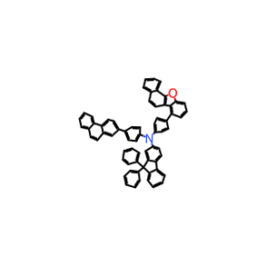 c1ccc(C2(c3ccccc3)c3ccccc3-c3ccc(N(c4ccc(-c5ccc6c(ccc7ccccc76)c5)cc4)c4ccc(-c5cccc6oc7c8ccccc8ccc7c56)cc4)cc32)cc1